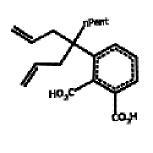 C=CCC(CC=C)(CCCCC)c1cccc(C(=O)O)c1C(=O)O